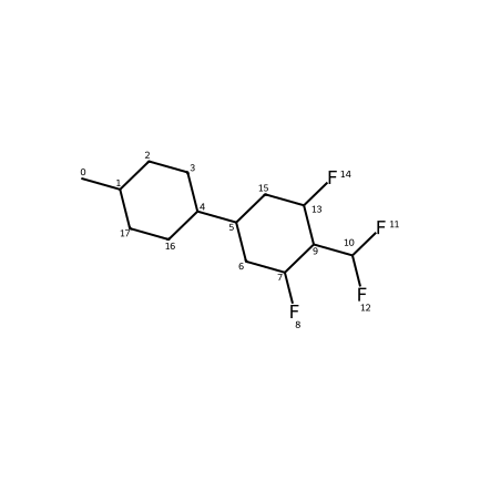 CC1CCC(C2CC(F)C(C(F)F)C(F)C2)CC1